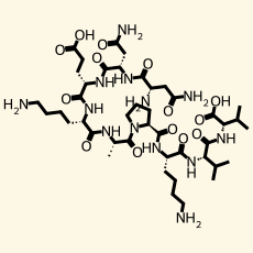 CC(C)[C@H](NC(=O)[C@@H](NC(=O)[C@H](CCCCN)NC(=O)[C@@H]1CCCN1C(=O)[C@H](C)NC(=O)[C@H](CCCCN)NC(=O)[C@H](CCC(=O)O)NC(=O)[C@H](CC(N)=O)NC(=O)[C@@H](N)CC(N)=O)C(C)C)C(=O)O